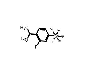 CC(O)c1ccc(S(F)(F)(F)(F)F)cc1F